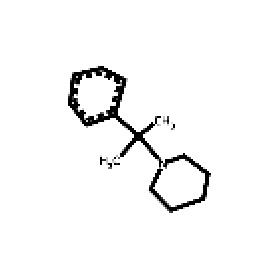 CC(C)(c1ccccc1)N1CCCCC1